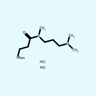 CCCCCCCCCCCC(=O)N(C)CCCN(C)C.Cl.Cl